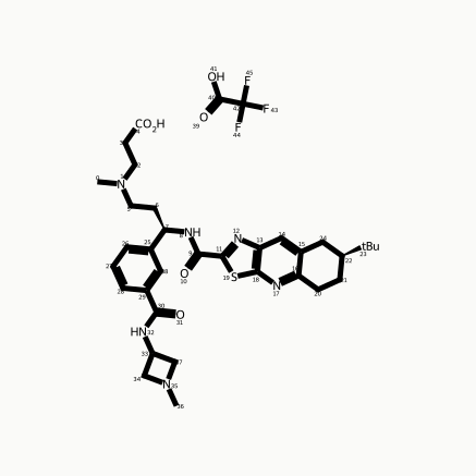 CN(CCC(=O)O)CC[C@@H](NC(=O)c1nc2cc3c(nc2s1)CC[C@H](C(C)(C)C)C3)c1cccc(C(=O)NC2CN(C)C2)c1.O=C(O)C(F)(F)F